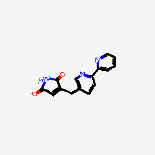 O=C1C=C(Cc2ccc(-c3ccccn3)nc2)C(=O)N1